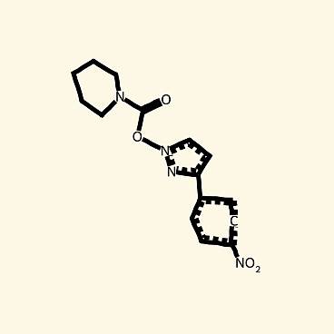 O=C(On1ccc(-c2ccc([N+](=O)[O-])cc2)n1)N1CCCCC1